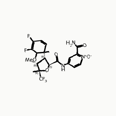 COC1C(F)=C(F)C=CC1(C)[C@@H]1[C@@H](C(=O)Nc2cc[n+]([O-])c(C(N)=O)c2)O[C@@](C)(C(F)(F)F)[C@@H]1C